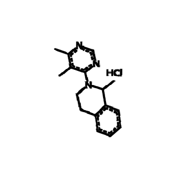 Cc1ncnc(N2CCc3ccccc3C2C)c1C.Cl